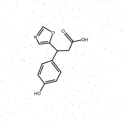 O=C(O)CC(c1ccc(O)cc1)c1cnco1